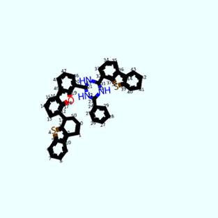 C1=Cc2c(sc3ccccc23)C(c2cccc3c2oc2c(C4NC(c5ccccc5)NC(c5cccc6c5sc5ccccc56)N4)cccc23)C1